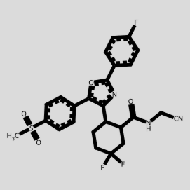 CS(=O)(=O)c1ccc(-c2oc(-c3ccc(F)cc3)nc2C2CCC(F)(F)CC2C(=O)NCC#N)cc1